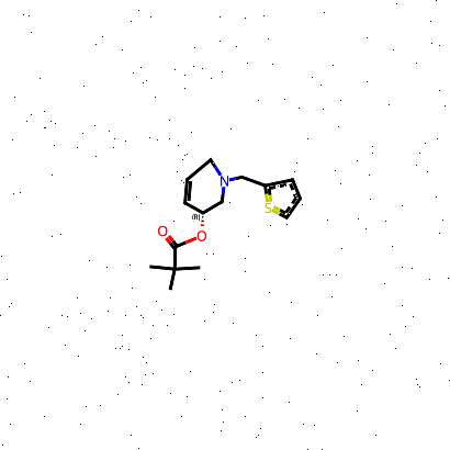 CC(C)(C)C(=O)O[C@@H]1C=CCN(Cc2cccs2)C1